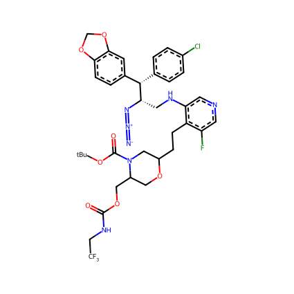 CC(C)(C)OC(=O)N1CC(CCc2c(F)cncc2NC[C@H](N=[N+]=[N-])[C@@H](c2ccc(Cl)cc2)c2ccc3c(c2)OCO3)OCC1COC(=O)NCC(F)(F)F